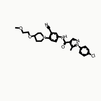 COCCOC1CCN(c2ccc(NC(=O)c3cnn(-c4ccc(Cl)cc4)c3C)cc2C#N)CC1